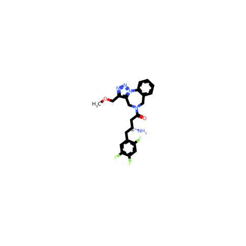 COCc1nnn2c1CN(C(=O)C[C@H](N)Cc1cc(F)c(F)cc1F)Cc1ccccc1-2